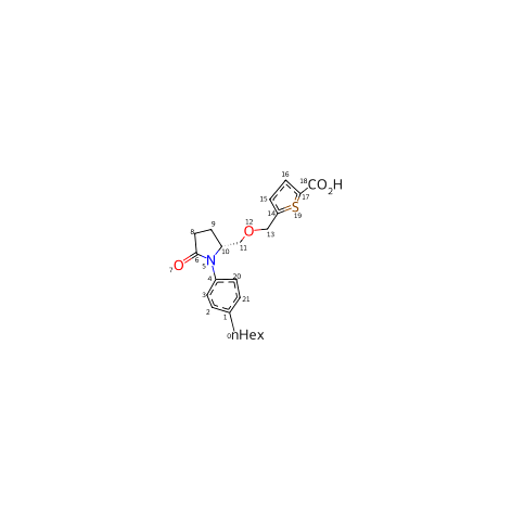 CCCCCCc1ccc(N2C(=O)CC[C@@H]2COCc2ccc(C(=O)O)s2)cc1